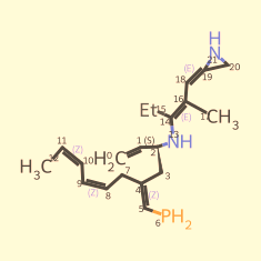 C=C[C@H](C/C(=C\P)C/C=C\C=C/C)N/C(CC)=C(C)/C=C1\CN1